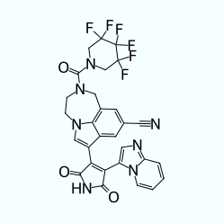 N#Cc1cc2c3c(c1)c(C1=C(c4cnc5ccccn45)C(=O)NC1=O)cn3CCN(C(=O)N1CC(F)(F)C(F)(F)C(F)(F)C1)C2